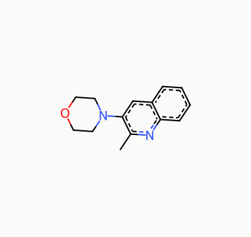 Cc1nc2ccccc2cc1N1CCOCC1